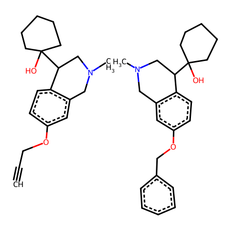 C#CCOc1ccc2c(c1)CN(C)CC2C1(O)CCCCC1.CN1Cc2cc(OCc3ccccc3)ccc2C(C2(O)CCCCC2)C1